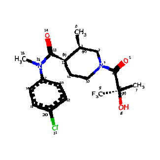 C[C@H]1CN(C(=O)[C@@](C)(O)C(F)(F)F)CC[C@H]1C(=O)N(C)c1ccc(Cl)cc1